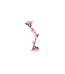 Cc1cc(CCC(=O)OCCOCC(C)OCCOC(=O)CCc2cc(C)c(O)c(C(C)(C)C)c2)cc(C(C)(C)C)c1O